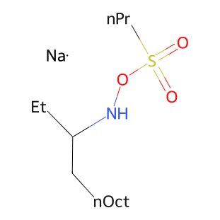 CCCCCCCCCC(CC)NOS(=O)(=O)CCC.[Na]